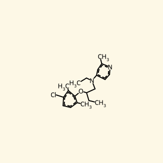 CCC(CN(CC)c1ccnc(C)c1)Oc1c(C)ccc(Cl)c1C